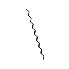 [CH2]CCCCC=CC=CC=CC=CC=CCC